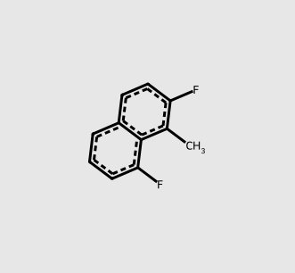 Cc1c(F)ccc2cccc(F)c12